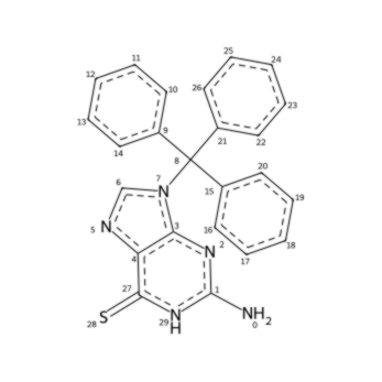 Nc1nc2c(ncn2C(c2ccccc2)(c2ccccc2)c2ccccc2)c(=S)[nH]1